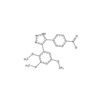 COc1cc(OC)c(OC)c(-c2nn[nH]c2-c2ccc([N+](=O)[O-])cc2)c1